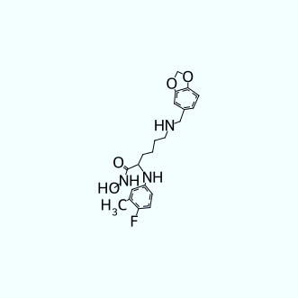 Cc1cc(NC(CCCCNCc2ccc3c(c2)OCO3)C(=O)NO)ccc1F